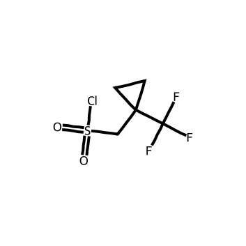 O=S(=O)(Cl)CC1(C(F)(F)F)CC1